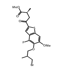 COC(=O)[C@@H](C)CC(=O)c1cc2c(F)c(OCC(C)CBr)c(OC)cc2s1